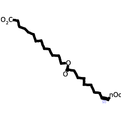 CCCCCCCC/C=C\CCCCCCCC(=O)OCCCCCCCCCCCCC(=O)O